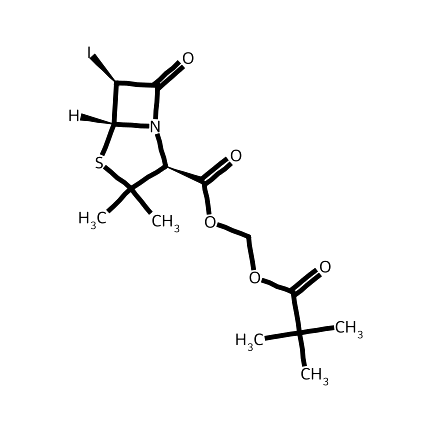 CC(C)(C)C(=O)OCOC(=O)[C@@H]1N2C(=O)[C@H](I)[C@H]2SC1(C)C